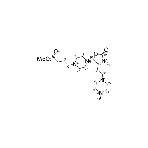 COC(=O)CCCN1CCN(C2OC(=O)N(C)C2CCN2CCN(C)CC2)CC1